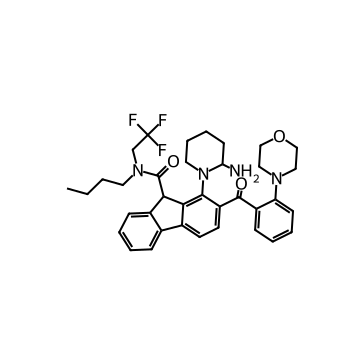 CCCCN(CC(F)(F)F)C(=O)C1c2ccccc2-c2ccc(C(=O)c3ccccc3N3CCOCC3)c(N3CCCCC3N)c21